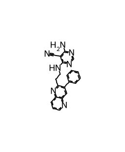 N#Cc1c(N)ncnc1NCCc1nc2cccnc2cc1-c1ccccc1